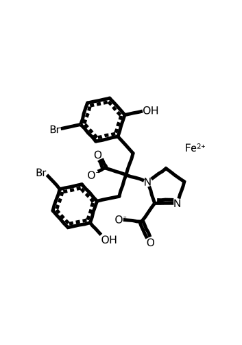 O=C([O-])C1=NCCN1C(Cc1cc(Br)ccc1O)(Cc1cc(Br)ccc1O)C(=O)[O-].[Fe+2]